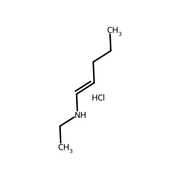 CCCC=CNCC.Cl